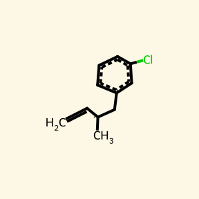 C=C[C](C)Cc1cccc(Cl)c1